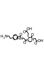 NCCc1ccc(C(=O)NCC(=O)N2CCN(CC(=O)O)C(=O)[C@@H]2CCC(=O)O)cc1